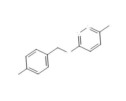 Fc1ccc(COc2ccc(I)nn2)cc1